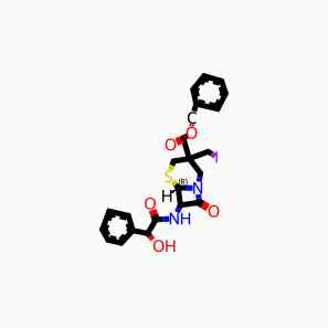 O=C(NC1C(=O)N2CC(CI)(C(=O)OCc3ccccc3)CS[C@H]12)C(O)c1ccccc1